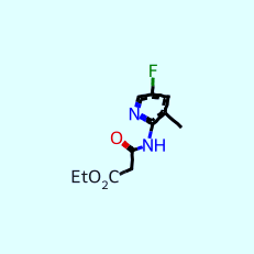 CCOC(=O)CC(=O)Nc1ncc(F)cc1C